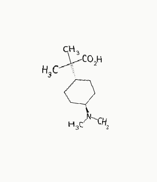 CN(C)[C@H]1CC[C@H](C(C)(C)C(=O)O)CC1